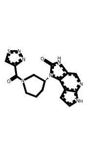 O=C(c1csnn1)N1CCC[C@@H](n2c(=O)[nH]c3cnc4[nH]ccc4c32)C1